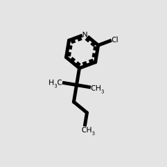 CCCC(C)(C)c1ccnc(Cl)c1